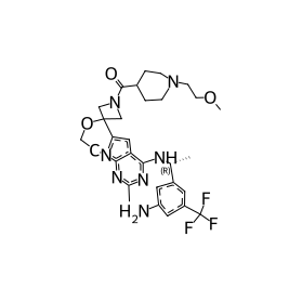 COCCN1CCC(C(=O)N2CC3(C2)OCCn2c3cc3c(N[C@H](C)c4cc(N)cc(C(F)(F)F)c4)nc(C)nc32)CC1